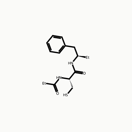 CCC(=O)N[C@@H](CS)C(=O)N[C@H](CC)Cc1ccccc1